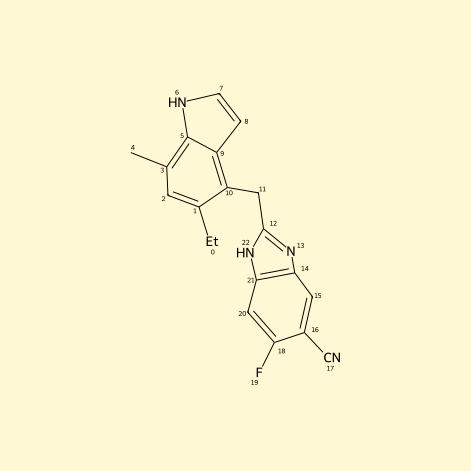 CCc1cc(C)c2[nH]ccc2c1Cc1nc2cc(C#N)c(F)cc2[nH]1